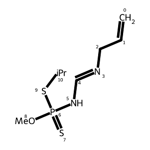 C=CCN=CNP(=S)(OC)SC(C)C